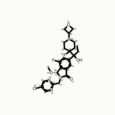 CCC(O)(c1cc(F)c2c(c1)C(=O)N(Cc1ncc(Cl)cn1)[C@@H]2OC)C1(F)CCN(C2COC2)CC1